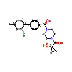 Cc1ccc(-c2ccc(C(=O)N3CCN(C(=O)C4(O)CC4)CC3)cc2)c(F)c1